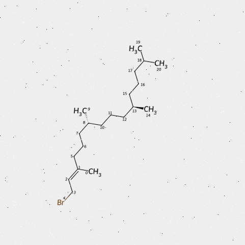 C/C(=C\CBr)CCC[C@H](C)CCC[C@H](C)CCCC(C)C